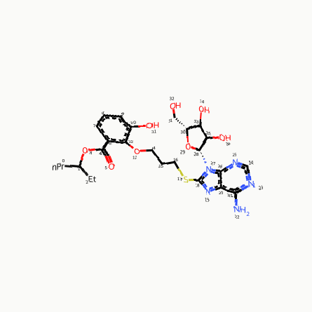 CCCC(CC)OC(=O)c1cccc(O)c1OCCCSc1nc2c(N)ncnc2n1[C@@H]1O[C@H](CO)C(O)C1O